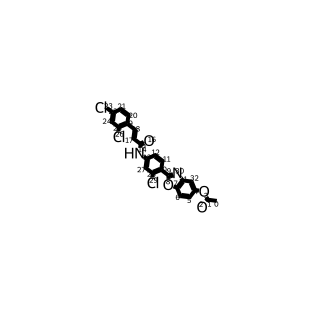 CC(=O)Oc1ccc2oc(-c3ccc(NC(=O)C=Cc4ccc(Cl)cc4Cl)cc3Cl)nc2c1